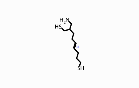 NCC(CS)CC/C=C/CCCS